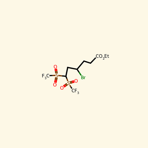 CCOC(=O)CCC(Br)CC(S(=O)(=O)C(F)(F)F)S(=O)(=O)C(F)(F)F